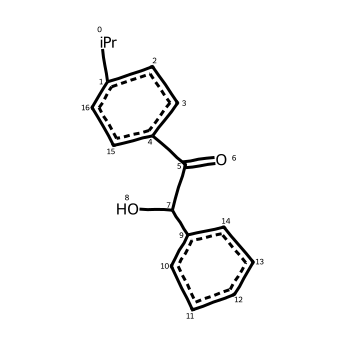 CC(C)c1ccc(C(=O)C(O)c2ccccc2)cc1